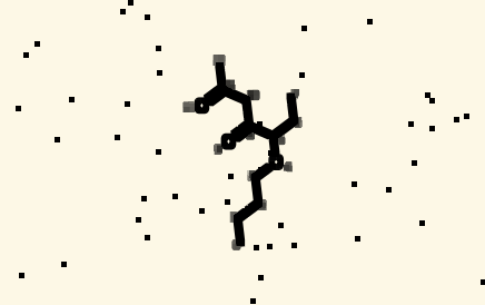 CCCCOC(CC)C(=O)CC(C)=O